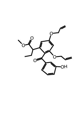 C=CCOc1cc(OCC=C)c(C(=O)c2cccc(O)c2)c(C(CC)C(=O)OC)c1